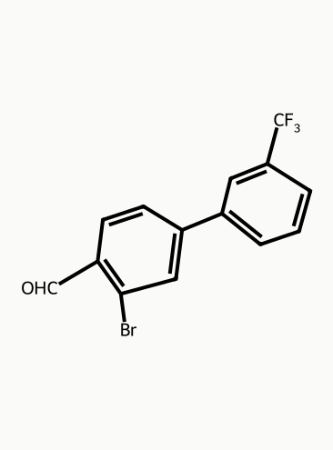 O=Cc1ccc(-c2cccc(C(F)(F)F)c2)cc1Br